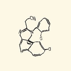 N#CCc1nc2cnc3ccc(Cl)cc3c2n1-c1ccccc1Cl